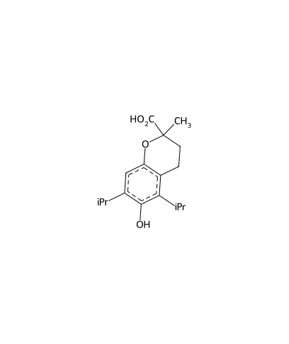 CC(C)c1cc2c(c(C(C)C)c1O)CCC(C)(C(=O)O)O2